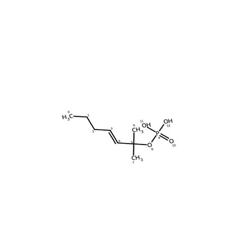 CCCC=CC(C)(C)OP(=O)(O)O